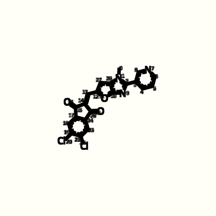 Cn1c(-c2cccnc2)nc2oc(C=C3C(=O)c4cc(Cl)c(Cl)cc4C3=O)cc21